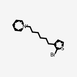 Brc1sccc1CCCCCC[n+]1ccccc1